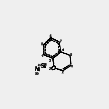 C1=COc2ccccc2C1.[Ni].[Si]